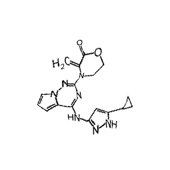 C=C1C(=O)OCCN1c1nc(Nc2cc(C3CC3)[nH]n2)c2cccn2n1